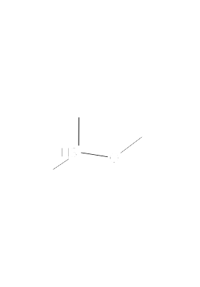 [CH2]O[SiH](C)C